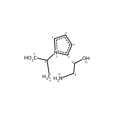 CC(C(=O)O)n1cccc1.NCCO